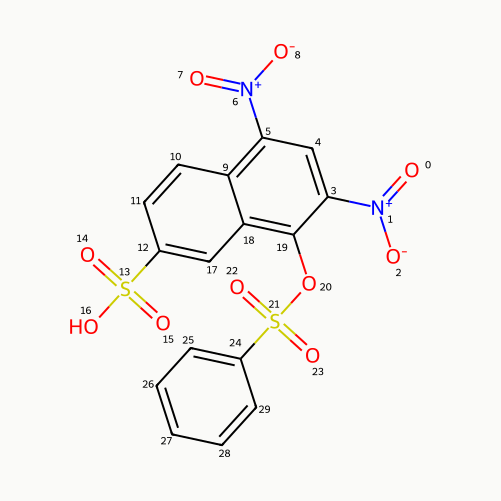 O=[N+]([O-])c1cc([N+](=O)[O-])c2ccc(S(=O)(=O)O)cc2c1OS(=O)(=O)c1ccccc1